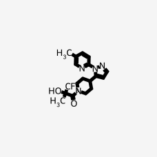 Cc1ccc(-n2nccc2C2CCN(C(=O)C(C)(O)C(F)(F)F)CC2)nc1